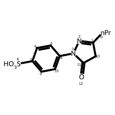 CCCC1=NN(c2ccc(S(=O)(=O)O)cc2)C(=O)C1